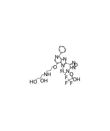 CCn1c(-c2nonc2N)nc2c(-c3ccccc3)ncc(OCCCNCC(O)CO)c21.O=C(O)C(F)(F)F